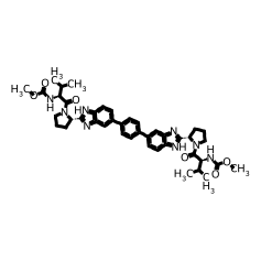 COC(=O)N[C@H](C(=O)N1CCC[C@H]1c1nc2cc(-c3ccc(-c4ccc5[nH]c([C@@H]6CCCN6C(=O)[C@@H](NC(=O)OC)C(C)C)nc5c4)cc3)ccc2[nH]1)C(C)C